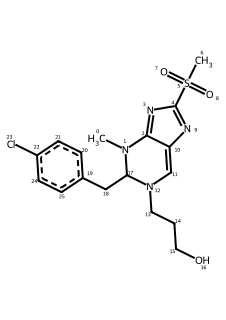 CN1C2=NC(S(C)(=O)=O)=NC2=CN(CCCO)C1Cc1ccc(Cl)cc1